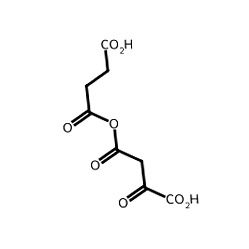 O=C(O)CCC(=O)OC(=O)CC(=O)C(=O)O